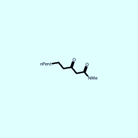 CCCCCCCC(=O)CC(=O)NC